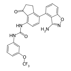 Nc1noc2cccc(-c3ccc(NC(=O)Nc4cccc(OC(F)(F)F)c4)c4c3CCC4=O)c12